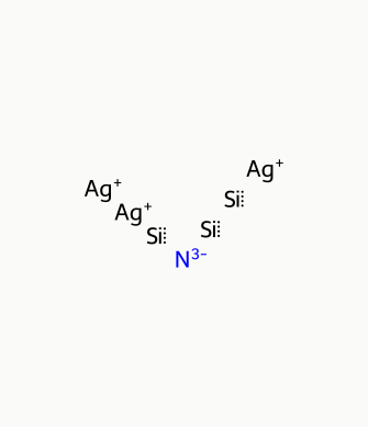 [Ag+].[Ag+].[Ag+].[N-3].[Si].[Si].[Si]